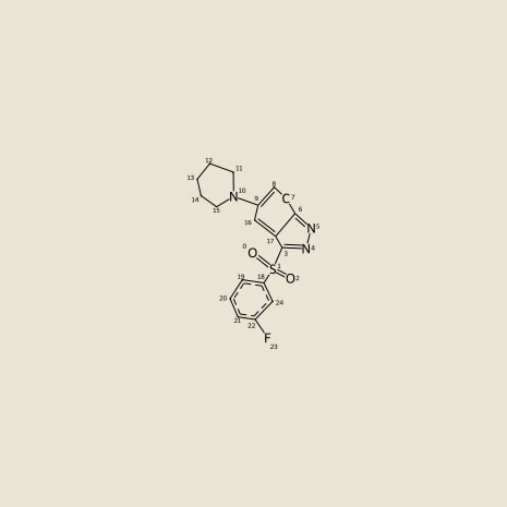 O=S(=O)(C1=NN=C2CC=C(N3CCCCC3)C=C21)c1cccc(F)c1